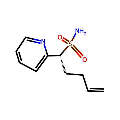 C=CCC[C@H](c1ccccn1)S(N)(=O)=O